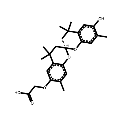 Cc1cc2c(cc1O)C(C)(C)C[C@]1(CC(C)(C)c3cc(OCC(=O)O)c(C)cc3O1)O2